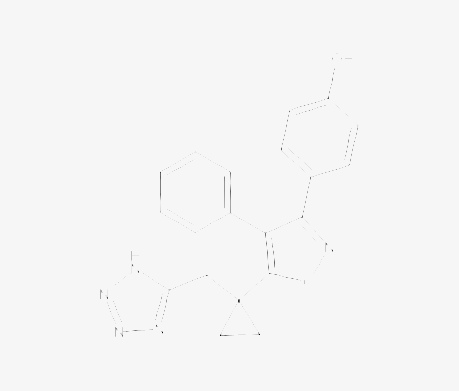 Oc1ccc(-c2noc(C3(Cc4nnn[nH]4)CC3)c2-c2ccccc2)cc1